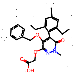 CCc1cc(C)cc(CC)c1-c1c(OCc2ccccc2)c(OCC(=O)O)nn(C)c1=O